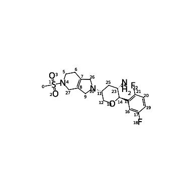 CS(=O)(=O)N1CCC2=C(CN([C@H]3CO[C@H](c4cc(F)ccc4F)[C@@H](N)C3)C2)C1